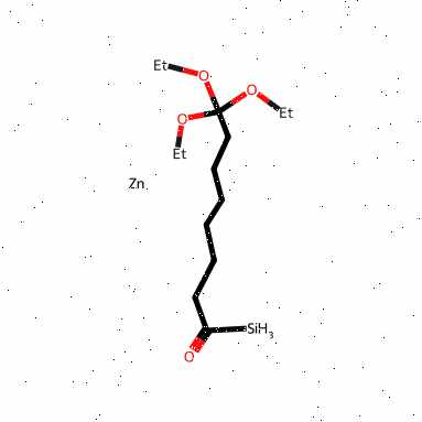 CCOC(CCCCCCC(=O)[SiH3])(OCC)OCC.[Zn]